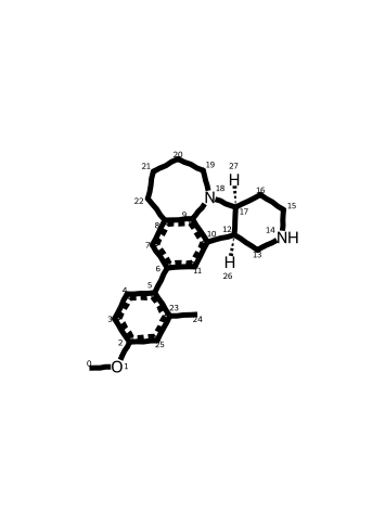 COc1ccc(-c2cc3c4c(c2)[C@@H]2CNCC[C@@H]2N4CCCC3)c(C)c1